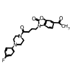 CC(=O)c1ccc2c(c1)oc(=O)n2CCCC(=O)N1CCN(c2ccc(F)cc2)CC1